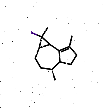 CC1=C2C(CC1)[C@@H](C)CCC1C2C1(C)I